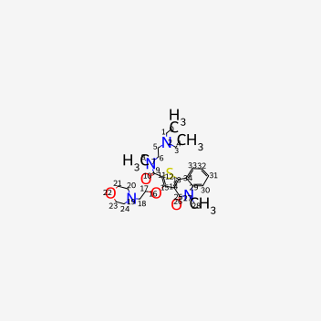 CCN(CC)CCN(C)C(=O)c1sc2c(c1OCCN1CCOCC1)c(=O)n(C)c1ccccc21